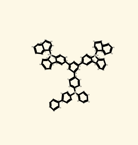 c1ccc(-c2ccc(N(c3ccccc3)c3ccc(-c4cc(-c5ccc6c(c5)c5ccccc5n6-c5cccc6ccccc56)cc(-c5ccc6c(c5)c5ccccc5n6-c5cccc6ccccc56)c4)cc3)cc2)cc1